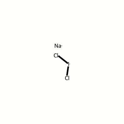 Cl[I]Cl.[Na]